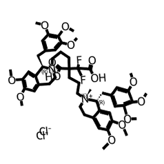 COc1cc2c(cc1OC)[C@@H](Cc1cc(OC)c(OC)c(OC)c1)[N@@+](C)(CCCC(CCC[N@@+]1(C)CCc3cc(OC)c(OC)cc3[C@H]1Cc1cc(OC)c(OC)c(OC)c1)(C(=O)O)C(F)(F)C(=O)O)CC2.[Cl-].[Cl-]